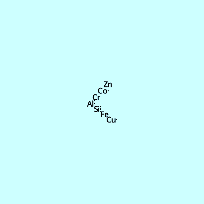 [Al].[Co].[Cr].[Cu].[Fe].[Si].[Zn]